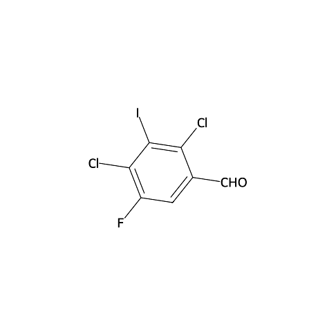 O=Cc1cc(F)c(Cl)c(I)c1Cl